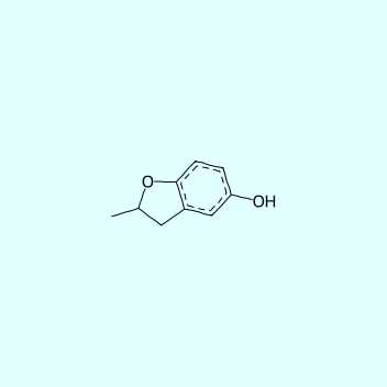 CC1Cc2cc(O)ccc2O1